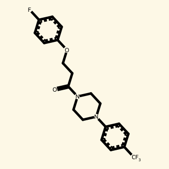 O=C(CCOc1ccc(F)cc1)N1CCN(c2ccc(C(F)(F)F)cc2)CC1